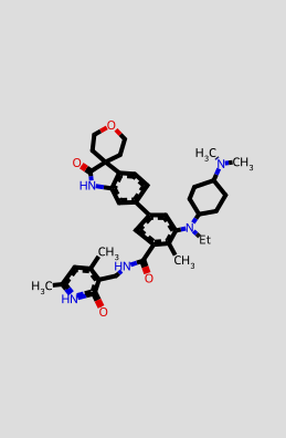 CCN(c1cc(-c2ccc3c(c2)NC(=O)C32CCOCC2)cc(C(=O)NCc2c(C)cc(C)[nH]c2=O)c1C)C1CCC(N(C)C)CC1